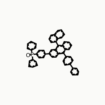 O=P(c1ccccc1)(c1ccccc1)c1ccc(-c2ccc3c(-c4ccc(-c5ccccc5)cc4)c4ccccc4c(-c4cccc5ccccc45)c3c2)cc1